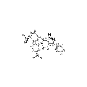 CN(C)c1cccc(C2(c3cccc(N(C)C)c3)C=Cc3c(-c4cscn4)n[nH]c3C2)c1